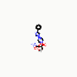 CC(C)CC(C(=O)N1CCN(n2cnc(-c3ccccc3)c2)CC1)C(O)(O)C(N)=O